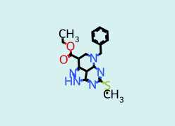 CCOC(=O)C1CN(Cc2ccccc2)C2N=C(SC)N=C3NN=C1C32